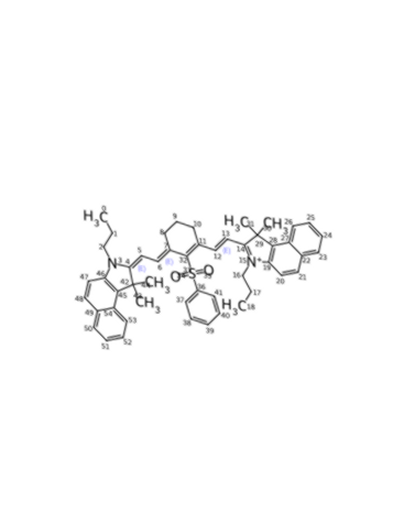 CCCN1/C(=C/C=C2\CCCC(/C=C/C3=[N+](CCC)c4ccc5ccccc5c4C3(C)C)=C2S(=O)(=O)c2ccccc2)C(C)(C)c2c1ccc1ccccc21